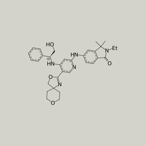 CCN1C(=O)c2ccc(Nc3cc(N[C@H](CO)c4ccccc4)c(C4=NC5(CCOCC5)CO4)cn3)cc2C1(C)C